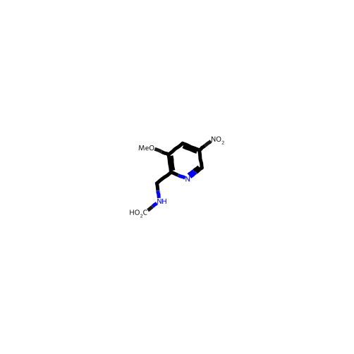 COc1cc([N+](=O)[O-])cnc1CNC(=O)O